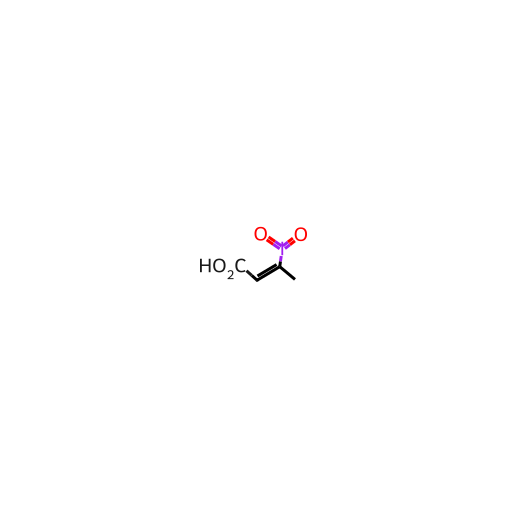 C/C(=C/C(=O)O)I(=O)=O